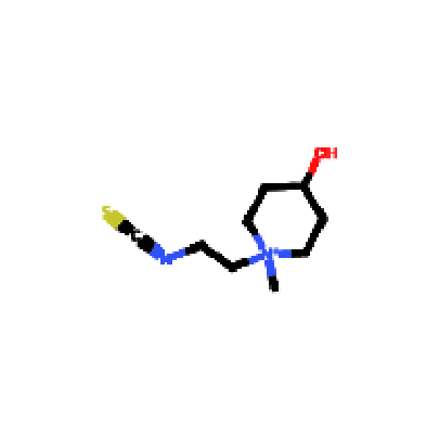 C[N+]1(CCN=C=S)CCC(O)CC1